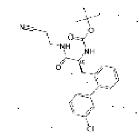 CC(C)(C)OC(=O)N[C@@H](Cc1ccccc1-c1cccc(Cl)c1)C(=O)NCCC#N